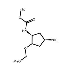 COCOC1C[C@H](N)C[C@@H]1NC(=O)OC(C)(C)C